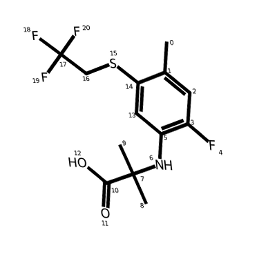 Cc1cc(F)c(NC(C)(C)C(=O)O)cc1SCC(F)(F)F